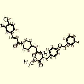 COC(=O)[C@H](Cc1ccc(OCc2ccccc2)cc1)NC(=O)CC1CCN(C(=O)/C=C/c2ccc(Cl)c(Cl)c2)CC1